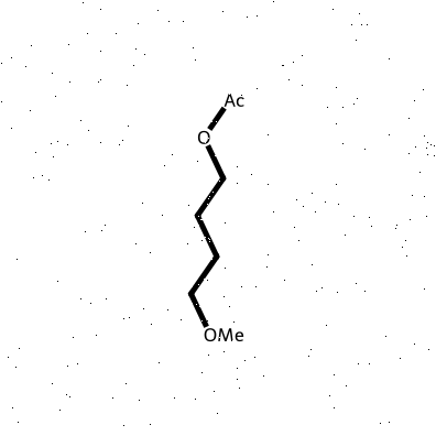 COCCCCOC(C)=O